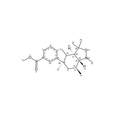 COC(=O)c1cccc([C@]2(C)C[C@H](C)[C@@H]3[C@@H](C2C)C(C)(C)ON3C)c1